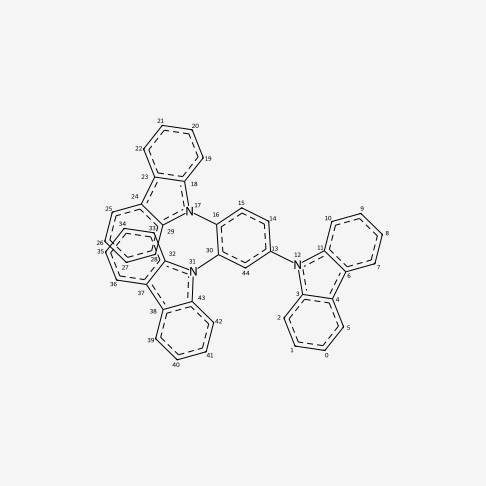 c1ccc2c(c1)c1ccccc1n2-c1ccc(-n2c3ccccc3c3ccccc32)c(-n2c3ccccc3c3ccccc32)c1